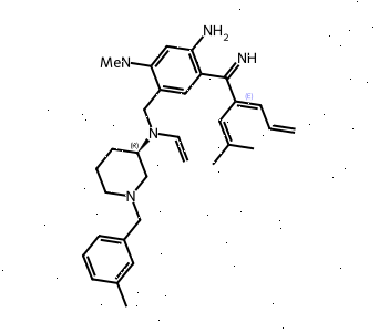 C=C/C=C(\C=C(C)C)C(=N)c1cc(CN(C=C)[C@@H]2CCCN(Cc3cccc(C)c3)C2)c(NC)cc1N